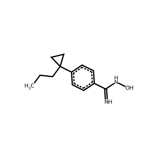 CCCC1(c2ccc(C(=N)NO)cc2)CC1